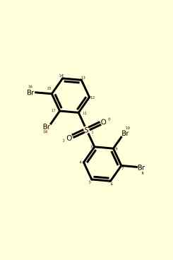 O=S(=O)(c1cccc(Br)c1Br)c1cccc(Br)c1Br